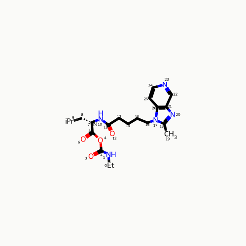 CCNC(=O)OC(=O)[C@H](CC(C)C)NC(=O)CCCCn1c(C)nc2cnccc21